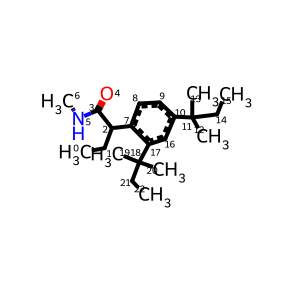 CCC(C(=O)NC)c1ccc(C(C)(C)CC)cc1C(C)(C)CC